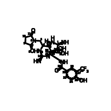 N=C1N[C@H]2C(CN3C(=O)CCC3=O)NC(=N)N3CC(NC(=O)c4ccc(O)c(C(F)(F)F)c4)C(O)(O)[C@]23N1